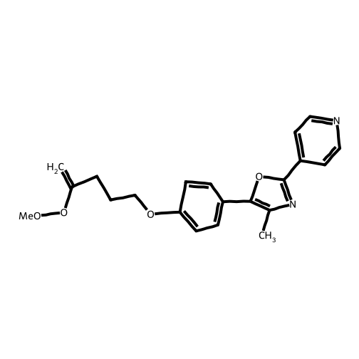 C=C(CCCOc1ccc(-c2oc(-c3ccncc3)nc2C)cc1)OOC